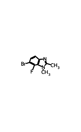 Cc1nc2ccc(Br)c(F)c2n1C